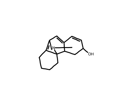 CN1CC2=C3CCCCC31C1CC(O)C=CC1=C2